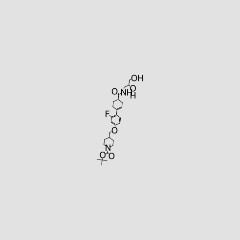 CC(C)(C)OC(=O)N1CCC(COc2ccc(C3=CCC(C(=O)NC[C@H](O)CO)CC3)c(F)c2)CC1